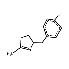 NC1=NC(Cc2ccc(Cl)cc2)CO1